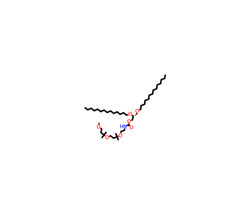 CCCCCCCCCCCCCCOC[C@H](COC(=O)NCCOC(C)(C)CCOC(C)(C)CCOC)OCCCCCCCCCCCCCC